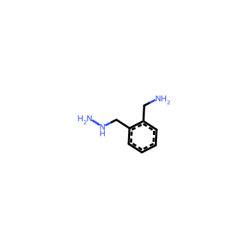 NCc1ccccc1CNN